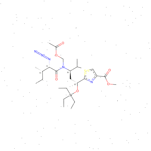 CC[C@H](C)[C@H](N=[N+]=[N-])C(=O)N(COC(C)=O)[C@H](C[C@@H](O[Si](CC)(CC)CC)c1nc(C(=O)OC)cs1)C(C)C